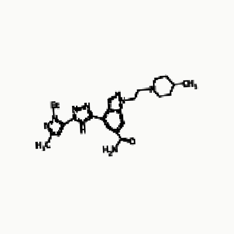 CCn1nc(C)cc1-c1nnc(-c2cc(C(N)=O)cc3c2cnn3CCN2CCC(C)CC2)[nH]1